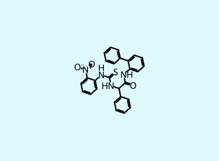 O=C(Nc1ccccc1-c1ccccc1)C(NC(=S)Nc1ccccc1[N+](=O)[O-])c1ccccc1